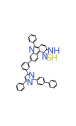 N=C1C=Cc2c(-c3ccccc3)nc3cc(-c4cccc(-c5cc(-c6ccccc6)nc(-c6ccc(-c7ccccc7)cc6)n5)c4)ccc3c2/C1=N/S